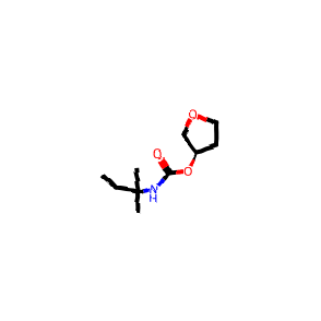 CCC(C)(C)NC(=O)O[C@@H]1CCOC1